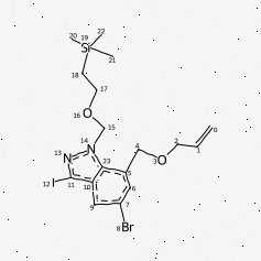 C=CCOCc1cc(Br)cc2c(I)nn(COCC[Si](C)(C)C)c12